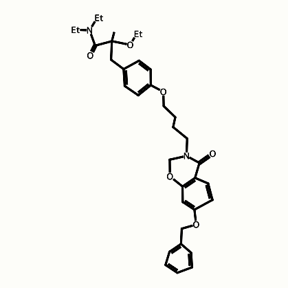 CCOC(C)(Cc1ccc(OCCCCN2COc3cc(OCc4ccccc4)ccc3C2=O)cc1)C(=O)N(CC)CC